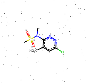 CN(c1nnc(Cl)cc1C(=O)O)S(C)(=O)=O